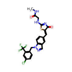 CNC(=O)CNC1=NC(=O)/C(=C/c2ccc3c(cnn3Cc3ccc(Cl)cc3C(F)(F)F)c2)S1